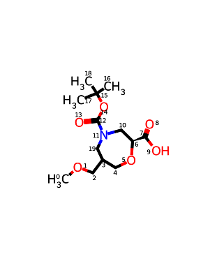 COCC1CO[C@H](C(=O)O)CN(C(=O)OC(C)(C)C)C1